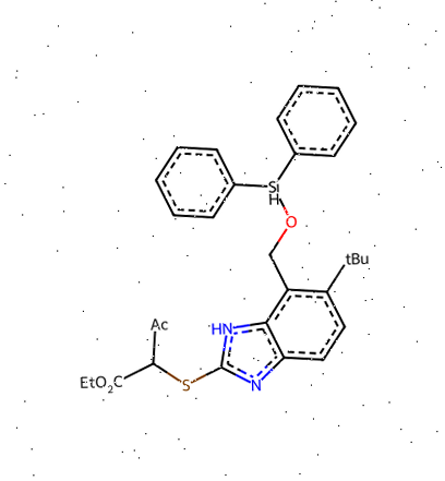 CCOC(=O)C(Sc1nc2ccc(C(C)(C)C)c(CO[SiH](c3ccccc3)c3ccccc3)c2[nH]1)C(C)=O